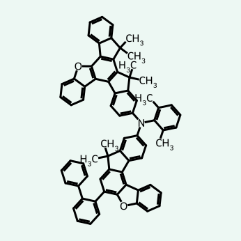 Cc1cccc(C)c1N(c1ccc2c(c1)C(C)(C)c1cc(-c3ccccc3-c3ccccc3)c3oc4ccccc4c3c1-2)c1ccc2c(c1)C(C)(C)c1c3c(c4oc5ccccc5c4c1-2)-c1ccccc1C3(C)C